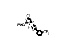 CSc1nc(Cl)cc(Sc2nc(-c3cccc(C(F)(F)F)c3)n[nH]2)n1